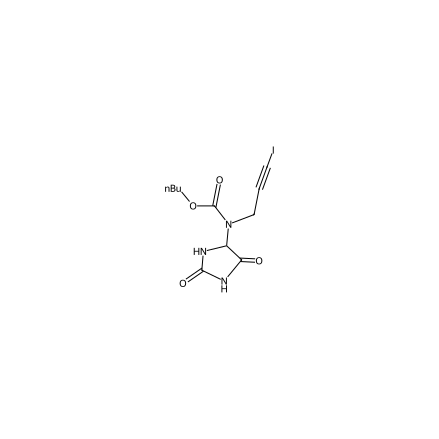 CCCCOC(=O)N(CC#CI)C1NC(=O)NC1=O